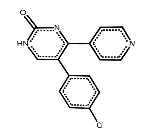 O=c1nc(-c2ccncc2)c(-c2ccc(Cl)cc2)c[nH]1